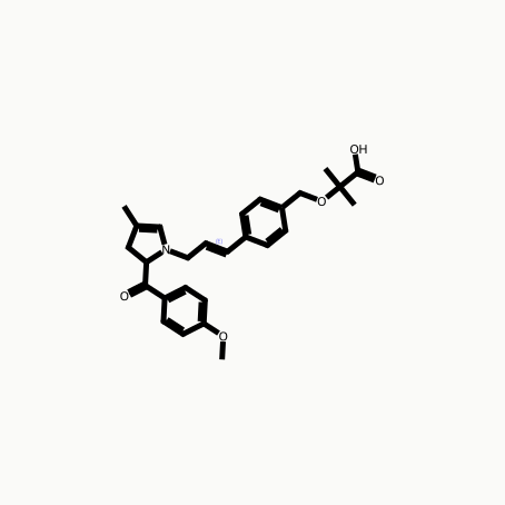 COc1ccc(C(=O)C2CC(C)=CN2C/C=C/c2ccc(COC(C)(C)C(=O)O)cc2)cc1